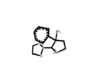 NC1(c2ccccc2)CCNC1B1OCCO1